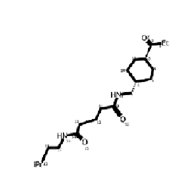 CCC(=O)[C@H]1CC[C@H](CNC(=O)CCCC(=O)NCCC(C)C)CC1